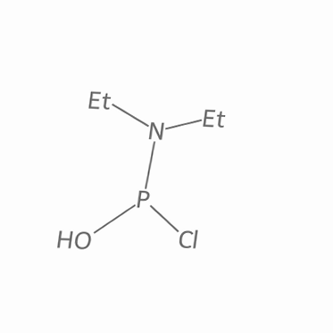 CCN(CC)P(O)Cl